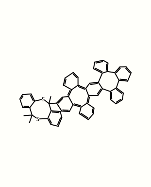 CC1(C)Sc2ccccc2C(C)(c2ccc3c4ccccc4c4cc5c6ccccc6c6ccccc6c6ccccc6c5cc4c4ccccc4c3c2)Sc2ccccc21